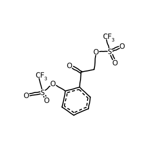 O=C(COS(=O)(=O)C(F)(F)F)c1ccccc1OS(=O)(=O)C(F)(F)F